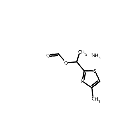 Cc1csc(C(C)OC=O)n1.N